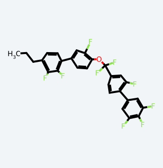 CCCc1ccc(-c2ccc(OC(F)(F)c3ccc(-c4cc(F)c(F)c(F)c4)c(F)c3)c(F)c2)c(F)c1F